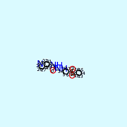 O=C(NCc1ccc(S(=O)(=O)c2ccccc2)cc1)Nc1ccc2ncccc2c1